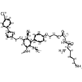 [C-]#[N+]c1c(NC)nc(SCc2csc(-c3ccc(Cl)cc3)n2)c(C#N)c1-c1ccc(OCCOC(=O)[C@H](C)NC(=O)[C@@H](N)CCCCN)cc1